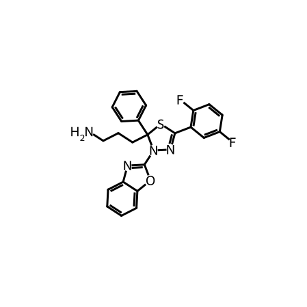 NCCCC1(c2ccccc2)SC(c2cc(F)ccc2F)=NN1c1nc2ccccc2o1